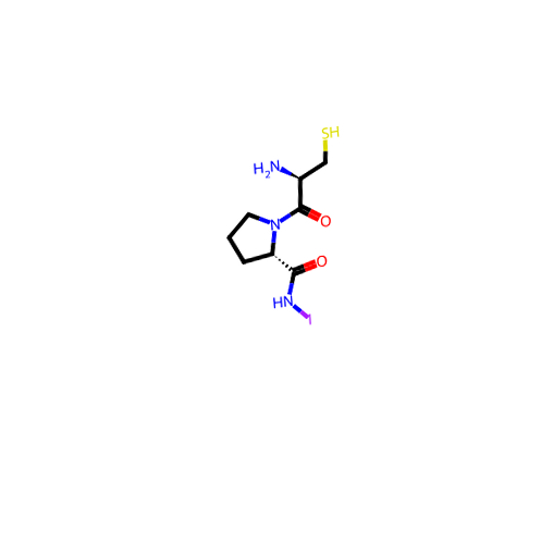 N[C@@H](CS)C(=O)N1CCC[C@H]1C(=O)NI